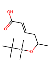 CC(CC=CC(=O)O)O[Si](C)(C)C(C)(C)C